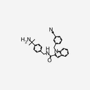 CC(C)(N)c1ccc(CNC(=O)c2cc3ccccc3n2Cc2cccc(C#N)c2)cc1